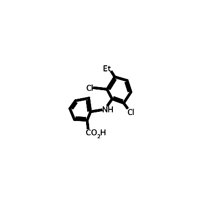 CCc1ccc(Cl)c(Nc2ccccc2C(=O)O)c1Cl